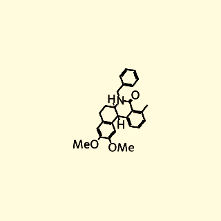 COc1cc2c(cc1OC)[C@H]1c3cccc(C)c3C(=O)N(Cc3ccccc3)[C@@H]1CC2